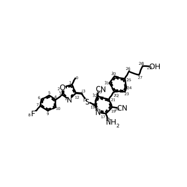 Cc1oc(-c2ccc(F)cc2)nc1CSc1nc(N)c(C#N)c(-c2ccc(CCCO)cc2)c1C#N